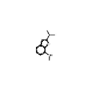 CNc1cccc2cc(C(C)C)oc12